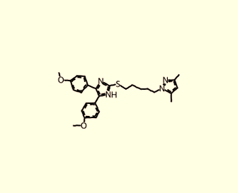 COc1ccc(-c2nc(SCCCCCn3nc(C)cc3C)[nH]c2-c2ccc(OC)cc2)cc1